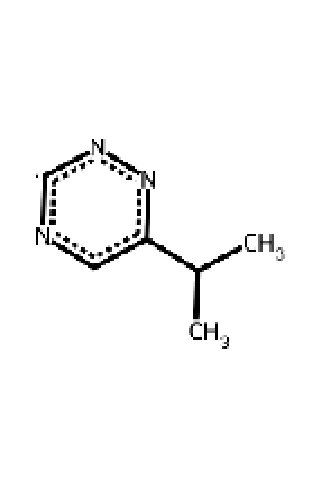 CC(C)c1cn[c]nn1